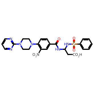 O=C(O)CC(NC(=O)c1ccc(N2CCN(c3ncccn3)CC2)c([N+](=O)[O-])c1)NS(=O)(=O)c1ccccc1